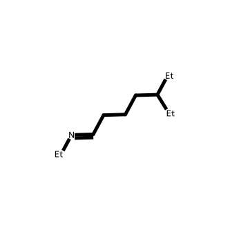 CC/N=C/CCCC(CC)CC